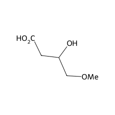 COCC(O)CC(=O)O